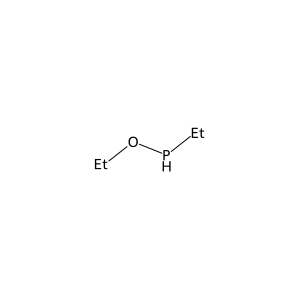 CCOPCC